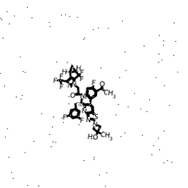 CC(=O)c1cc(-c2cc3sc(N4CC(C)(O)C4)nc3nc2[C@H](Cc2cc(F)cc(F)c2)NC(=O)Cn2nc(C(F)(F)F)c3c2C(F)(F)[C@@H]2C[C@H]32)ccc1F